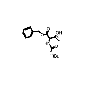 C[C@H](O)C(NC(=O)OC(C)(C)C)C(=O)OCc1ccccc1